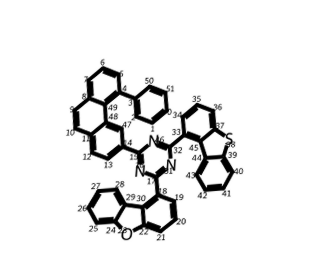 c1ccc(-c2cccc3ccc4ccc(-c5nc(-c6cccc7oc8ccccc8c67)nc(-c6cccc7sc8ccccc8c67)n5)cc4c23)cc1